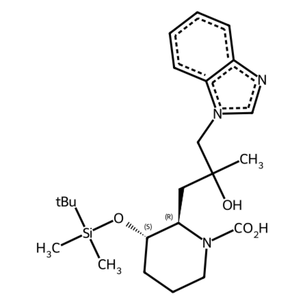 CC(O)(C[C@@H]1[C@@H](O[Si](C)(C)C(C)(C)C)CCCN1C(=O)O)Cn1cnc2ccccc21